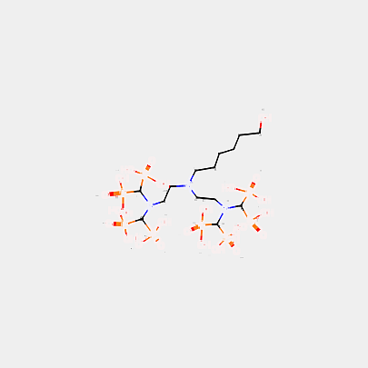 O=P(O)(O)C(N(CCN(CCCCCCO)CCN(C(P(=O)(O)O)P(=O)(O)O)C(P(=O)(O)O)P(=O)(O)O)C(P(=O)(O)O)P(=O)(O)O)P(=O)(O)O